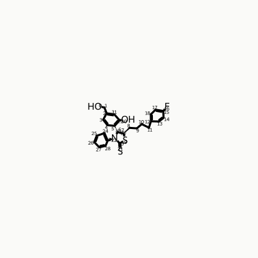 OCc1ccc([C@@H]2[C@@H](CCCCc3ccc(F)cc3)SC(=S)N2c2ccccc2)c(O)c1